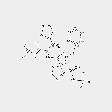 CC(=O)O[C@H](C)C(NC(=O)C1(COCc2ccccc2)CCCN1C(=O)OC(C)(C)C)C(=O)N1CCCC1